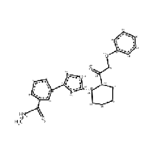 CNC(=O)c1cccc(-c2noc([C@H]3CCCCN3C(=O)COc3ccccc3)n2)c1